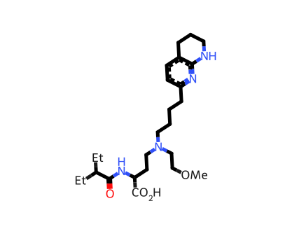 CCC(CC)C(=O)NC(CCN(CCCCc1ccc2c(n1)NCCC2)CCOC)C(=O)O